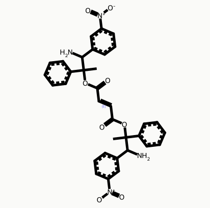 CC(OC(=O)/C=C/C(=O)OC(C)(c1ccccc1)C(N)c1cccc([N+](=O)[O-])c1)(c1ccccc1)C(N)c1cccc([N+](=O)[O-])c1